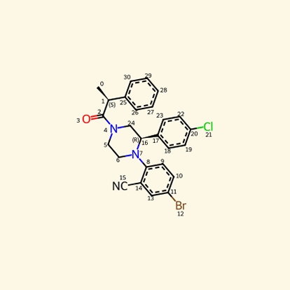 C[C@H](C(=O)N1CCN(c2ccc(Br)cc2C#N)[C@H](c2ccc(Cl)cc2)C1)c1ccccc1